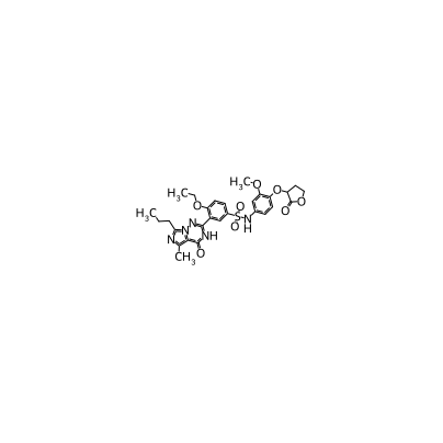 CCCc1nc(C)c2c(=O)[nH]c(-c3cc(S(=O)(=O)Nc4ccc(OC5CCOC5=O)c(OC)c4)ccc3OCC)nn12